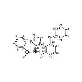 COc1ccccc1N1CCN(c2c(C)cccc2Cc2ccccc2)C1=N